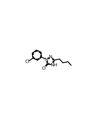 CCCCc1nn(-c2cccc(Cl)c2)c(=O)[nH]1